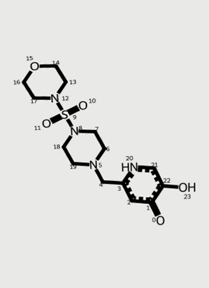 O=c1cc(CN2CCN(S(=O)(=O)N3CCOCC3)CC2)[nH]cc1O